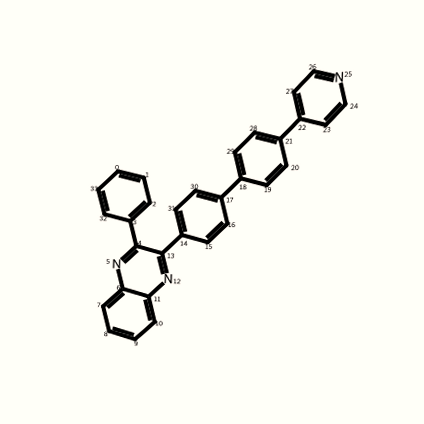 c1ccc(-c2nc3ccccc3nc2-c2ccc(-c3ccc(-c4ccncc4)cc3)cc2)cc1